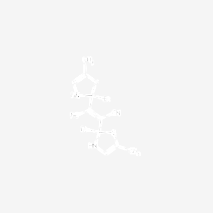 CCC1(/C(C#N)=C(\C#N)C2(CC)NC=C(C)S2)NC=C(C)S1